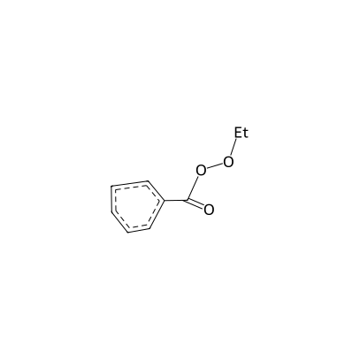 [CH2]COOC(=O)c1ccccc1